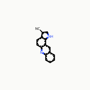 N#Cc1c[nH]c2c1ccc1nc3ccccc3cc12